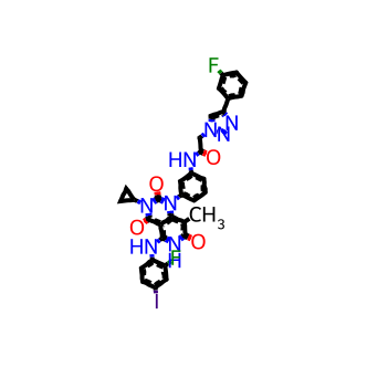 Cc1c(=O)[nH]c(Nc2ccc(I)cc2F)c2c(=O)n(C3CC3)c(=O)n(-c3cccc(NC(=O)Cn4cc(-c5cccc(F)c5)nn4)c3)c12